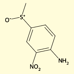 C[S+]([O-])c1ccc(N)c([N+](=O)[O-])c1